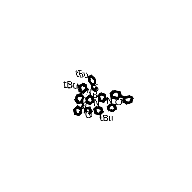 CC(C)(C)c1ccc(N2c3cc(N(c4ccccc4)c4cccc5c4oc4ccccc45)ccc3B3c4sc5ccc(C(C)(C)C)cc5c4N(c4ccc(C(C)(C)C)cc4)c4cc([Si](c5ccccc5)(c5ccccc5)c5ccoc5)cc2c43)cc1